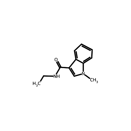 CCNC(=O)c1cn(C)c2ccccc12